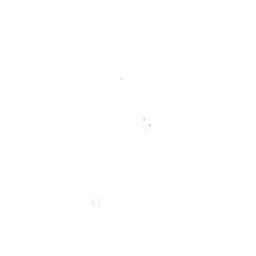 CCc1cnc(CC2(C)CCCC2)o1